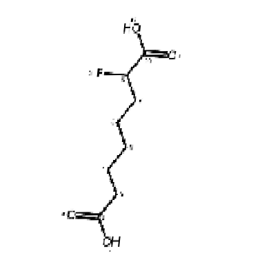 O=C(O)CCCCCC(F)C(=O)O